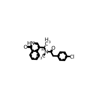 C[C@H](c1c[nH]c(=O)c2ccccc12)N(C)C(=O)Cc1ccc(Cl)cc1